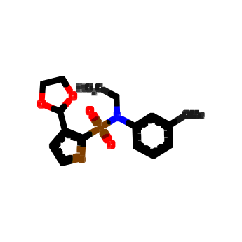 CCOC(=O)CN(c1cccc(OC)c1)S(=O)(=O)c1sccc1C1OCCO1